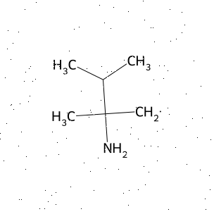 [CH2]C(C)(N)C(C)C